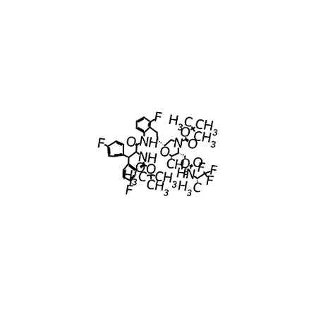 C[C@@H]1O[C@H](CCc2c(F)cccc2NC(=O)C(NC(=O)OC(C)(C)C)C(c2ccc(F)cc2)c2ccc(F)cc2)CN(C(=O)OC(C)(C)C)[C@@H]1COC(=O)N[C@@H](C)C(F)(F)F